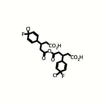 O=C(O)CC(CC(=O)OC(=O)CC(CC(=O)O)C1C=CC(F)(Cl)C=C1)C1C=CC(F)(Cl)C=C1